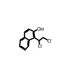 Oc1ccc2ccccc2c1C(Cl)CCl